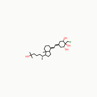 C[C@@H](CCCC(C)(C)O)C1CCC2/C(=C/C=C3C[C@@H](O)C(O)(CF)[C@H](O)C3)CCCC21C